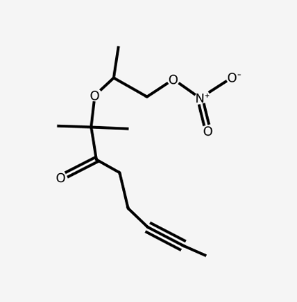 CC#CCCC(=O)C(C)(C)OC(C)CO[N+](=O)[O-]